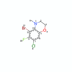 CN1CCOc2cc(Cl)c(F)c(Br)c21